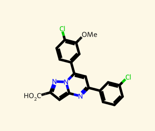 COc1cc(-c2cc(-c3cccc(Cl)c3)nc3cc(C(=O)O)nn23)ccc1Cl